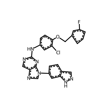 Fc1cccc(COc2ccc(Nc3ncc4ncn(-c5ccc6cn[nH]c6c5)c4n3)cc2Cl)c1